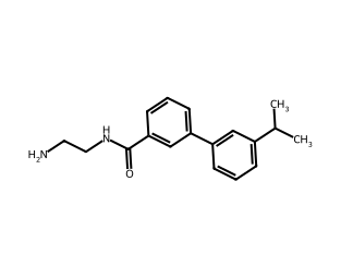 CC(C)c1cccc(-c2cccc(C(=O)NCCN)c2)c1